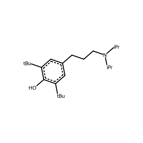 CC(C)N(CCCc1cc(C(C)(C)C)c(O)c(C(C)(C)C)c1)C(C)C